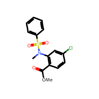 COC(=O)c1ccc(Cl)cc1N(C)S(=O)(=O)c1ccccc1